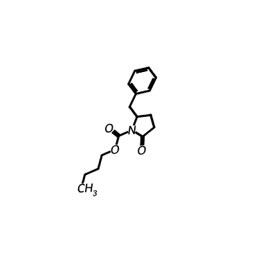 CCCCOC(=O)N1C(=O)CCC1Cc1ccccc1